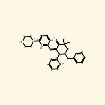 CC1(C)CN(Cc2ccccc2)C(c2ccccn2)C(=Cc2cccc(N3CCOCC3)n2)C1=O